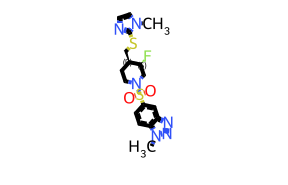 Cn1ccnc1SC[C@@H]1CCN(S(=O)(=O)c2ccc3c(c2)nnn3C)C[C@H]1F